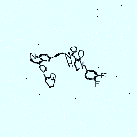 O=C(NCC#Cc1ccc2nccc(OCC3CCCCO3)c2c1)c1cccn(Cc2ccc(F)c(F)c2)c1=O